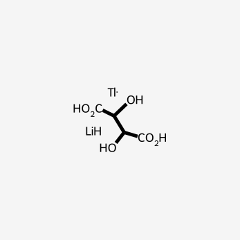 O=C(O)C(O)C(O)C(=O)O.[LiH].[Tl]